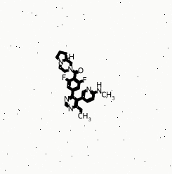 CCc1ncnc(-c2cc(F)c(C(=O)N3CCN4CCC[C@H]4C3)c(F)c2)c1-c1ccc(NC)nc1